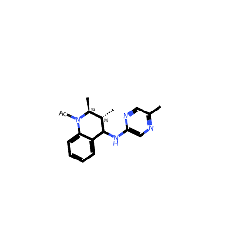 CC(=O)N1c2ccccc2C(Nc2cnc(C)cn2)[C@@H](C)[C@@H]1C